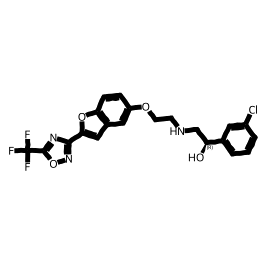 O[C@@H](CNCCOc1ccc2oc(-c3noc(C(F)(F)F)n3)cc2c1)c1cccc(Cl)c1